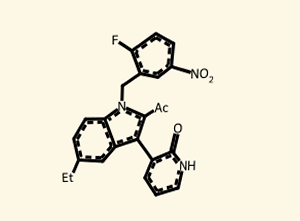 CCc1ccc2c(c1)c(-c1ccc[nH]c1=O)c(C(C)=O)n2Cc1cc([N+](=O)[O-])ccc1F